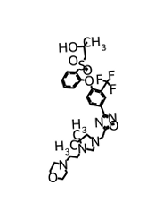 CC(O)CS(=O)(=O)c1ccccc1Oc1ccc(-c2noc(CN3CN(CCN4CCOCC4)C(C)(C)C3)n2)cc1C(F)(F)F